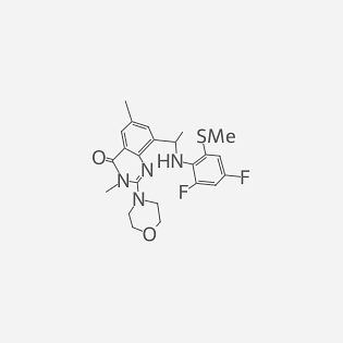 CSc1cc(F)cc(F)c1NC(C)c1cc(C)cc2c(=O)n(C)c(N3CCOCC3)nc12